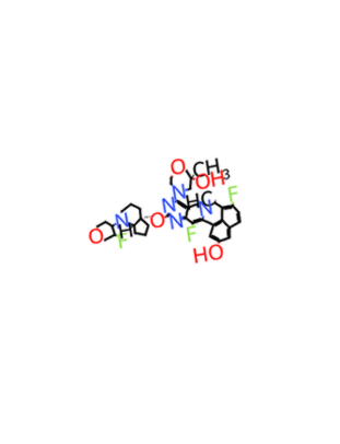 C#Cc1c(F)ccc2cc(O)cc(-c3ncc4c(N5CCOC[C@@](C)(O)C5)nc(OC[C@]56CCC[C@H]5N(C5CCOCC5F)CCC6)nc4c3F)c12